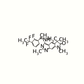 Cc1nc(N[C@H](C)c2cccc(C(C)(F)F)c2F)c2cc3c(cc2n1)N(C)C(=O)C3(C)C